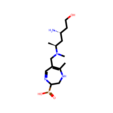 CC1=C(CN(C)[C@@H](C)C[C@H](N)CCO)C=NC(S(=O)O)CN1